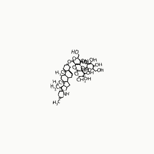 CC1O[C@@H](OC2=C(O[C@@H]3OC(CO)[C@@H](O)C(O)=C3O)[C@@H](O)C(CO)O[C@H]2O[C@H]2CC[C@@]3(C)C(=CCC4C5CC6C[C@]7(CC[C@@H](C)CN7)[C@@H](C)C6[C@@]5(C)CCC43)C2)C(O)[C@@H](O)[C@H]1O